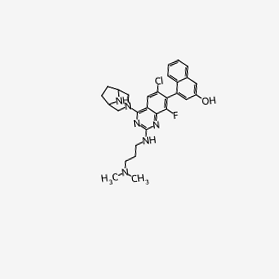 CN(C)CCCNc1nc(N2CC3CCC(C2)N3)c2cc(Cl)c(-c3cc(O)cc4ccccc34)c(F)c2n1